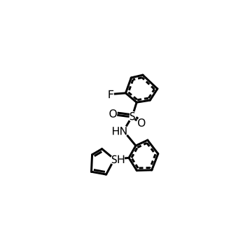 O=S(=O)(Nc1ccccc1[SH]1C=CC=C1)c1ccccc1F